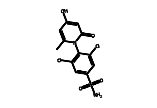 Cc1cc(O)cc(=O)n1-c1c(Cl)cc(S(N)(=O)=O)cc1Cl